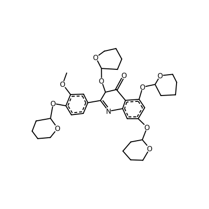 COc1cc(C2=Nc3cc(OC4CCCCO4)cc(OC4CCCCO4)c3C(=O)C2OC2CCCCO2)ccc1OC1CCCCO1